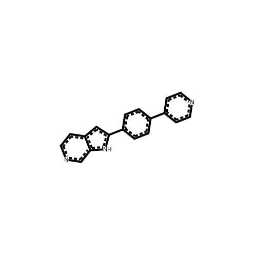 c1cc(-c2ccc(-c3cc4ccncc4[nH]3)cc2)ccn1